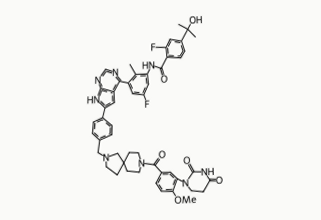 COc1ccc(C(=O)N2CCC3(CCN(Cc4ccc(-c5cc6c(-c7cc(F)cc(NC(=O)c8ccc(C(C)(C)O)cc8F)c7C)ncnc6[nH]5)cc4)C3)CC2)cc1N1CCC(=O)NC1=O